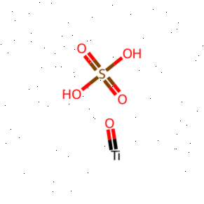 O=S(=O)(O)O.[O]=[Ti]